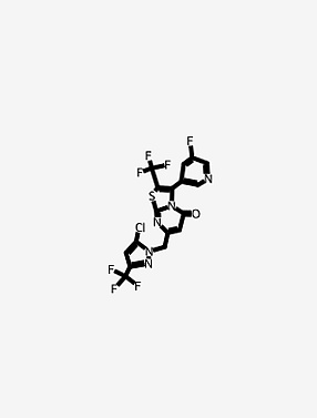 O=c1cc(Cn2nc(C(F)(F)F)cc2Cl)nc2sc(C(F)(F)F)c(-c3cncc(F)c3)n12